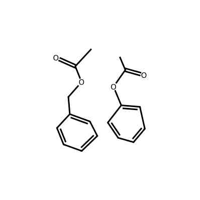 CC(=O)OCc1ccccc1.CC(=O)Oc1ccccc1